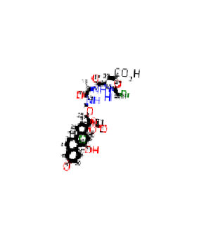 CCC(=O)O[C@]1(C(=O)COCNC(=O)[C@H](C)NC(=O)[C@H](CCC(=O)O)NC(=O)CBr)[C@@H](C)CC2[C@@H]3CCC4=CC(=O)C=C[C@]4(C)[C@@]3(Cl)[C@@H](O)C[C@@]21C